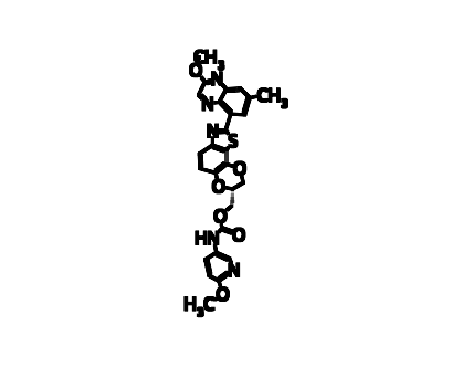 COc1ccc(NC(=O)OC[C@H]2COc3c(ccc4nc(-c5cc(C)cc6nc(OC)cnc56)sc34)O2)cn1